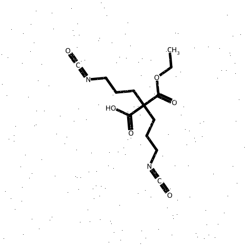 CCOC(=O)C(CCCN=C=O)(CCCN=C=O)C(=O)O